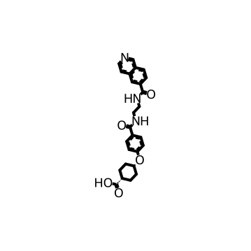 O=C(NCCNC(=O)c1ccc2cnccc2c1)c1ccc(O[C@H]2CC[C@@H](C(=O)O)CC2)cc1